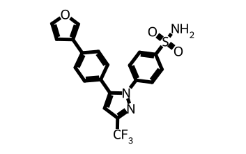 NS(=O)(=O)c1ccc(-n2nc(C(F)(F)F)cc2-c2ccc(-c3ccoc3)cc2)cc1